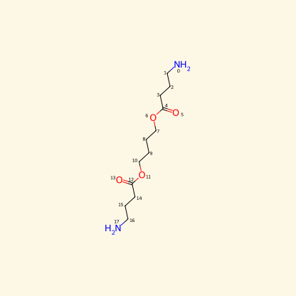 NCCCC(=O)OCCCCOC(=O)CCCN